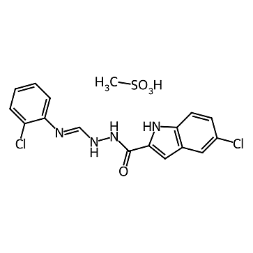 CS(=O)(=O)O.O=C(NNC=Nc1ccccc1Cl)c1cc2cc(Cl)ccc2[nH]1